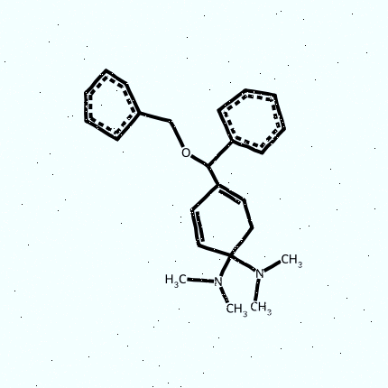 CN(C)C1(N(C)C)C=CC(C(OCc2ccccc2)c2ccccc2)=CC1